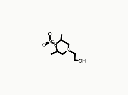 CC1CN(CCO)CC(C)N1[N+](=O)[O-]